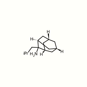 CC(C)CC1(N)[C@H]2C[C@H]3C[C@H](C2)C[C@H]1C3